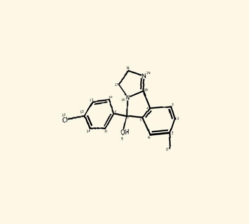 Cc1ccc2c(c1)C(O)(c1ccc(Cl)cc1)N1CCN=C21